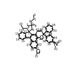 CCCC(C)(C)CC1(CCC)c2ccccc2-c2c1c1c(c3cc(OC)ccc23)OC(c2ccccc2)(c2ccc(N(C)C)cc2)C=C1